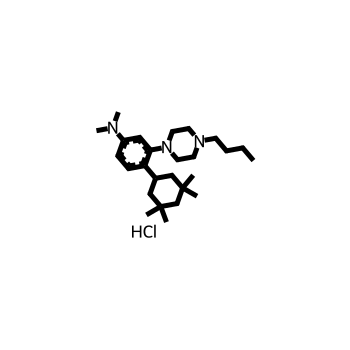 CCCCN1CCN(c2cc(N(C)C)ccc2C2CC(C)(C)CC(C)(C)C2)CC1.Cl